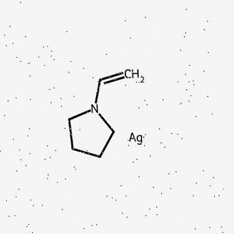 C=CN1CCCC1.[Ag]